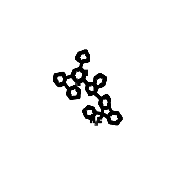 CC1(c2ccccc2)c2ccccc2-c2ccc(-c3ccc(-c4nc(-c5ccccc5)cc(-c5ccccc5-c5ccccc5)n4)c4ccccc34)cc21